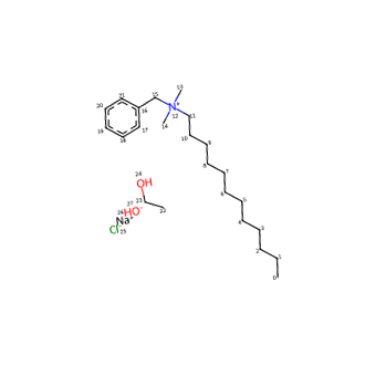 CCCCCCCCCCCC[N+](C)(C)Cc1ccccc1.CCO.[Cl-].[Na+].[OH-]